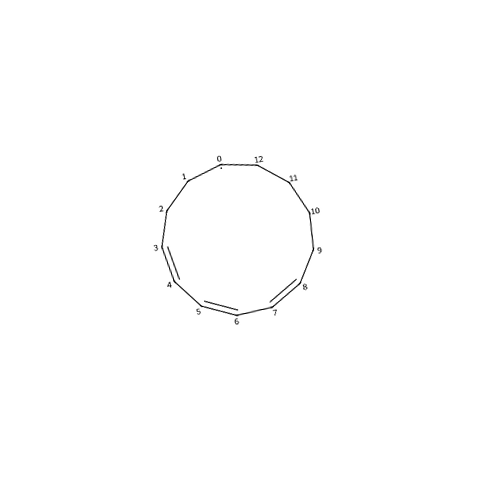 [CH]1CCC=CC=CC=CCCCC1